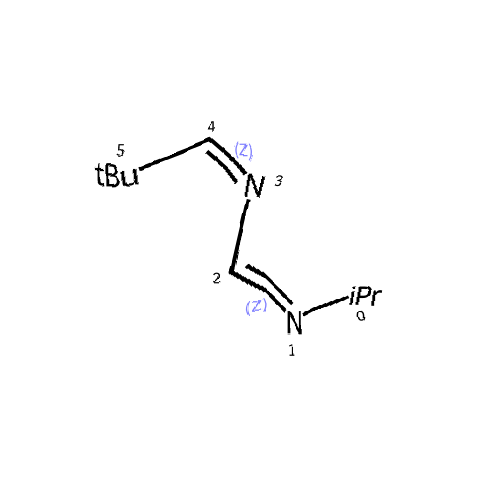 CC(C)/N=C\N=C/C(C)(C)C